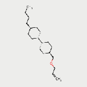 C=CCOC[C@H]1CC[C@H]([C@H]2CC[C@H](CCCC)CC2)CC1